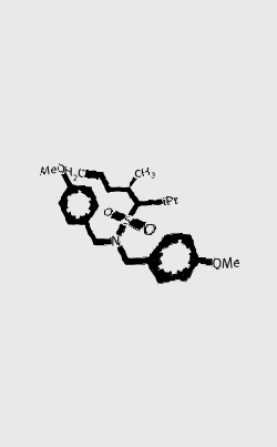 C=CC[C@@H](C)C(C(C)C)S(=O)(=O)N(Cc1ccc(OC)cc1)Cc1ccc(OC)cc1